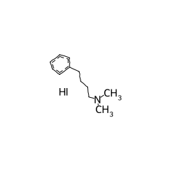 CN(C)CCCCc1ccccc1.I